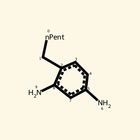 CCCCCCc1ccc(N)cc1N